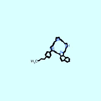 CCCCc1ccc(-c2cc3cc4nc(cc5ccc(cc6nc(cc2[nH]3)-c2ccc3ccccc3c2-6)[nH]5)C=C4)cc1